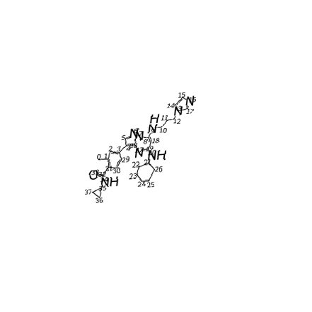 Cc1cc(-c2cnn3c(NCCCn4ccnc4)cc(NC4CCCCC4)nc23)ccc1C(=O)NC1CC1